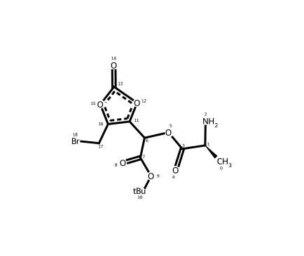 C[C@H](N)C(=O)OC(C(=O)OC(C)(C)C)c1oc(=O)oc1CBr